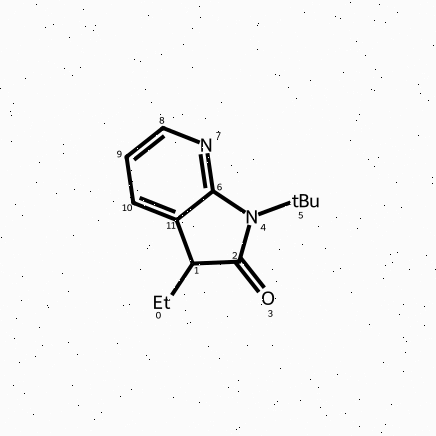 CCC1C(=O)N(C(C)(C)C)c2ncccc21